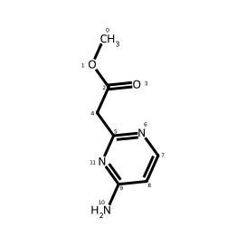 COC(=O)Cc1nccc(N)n1